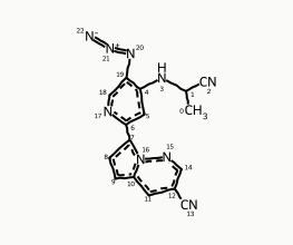 CC(C#N)Nc1cc(-c2ccc3cc(C#N)cnn23)ncc1N=[N+]=[N-]